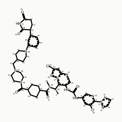 C[C@H](c1c(NC(=O)Nc2cnc(-n3nccn3)c(Cl)c2)cnc2cc(Cl)nn12)N(C)C(=O)C1CCC(C(=O)N2CCN(CC3CCN(c4cccc(C5CCC(=O)NC5=O)c4)CC3)CC2)CC1